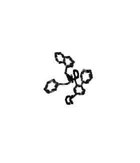 O=C(c1cc(Cl)ccc1-c1ccccc1)N(Cc1ccccc1)Cc1cccc2ccccc12